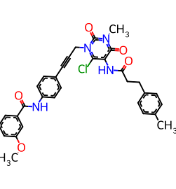 COc1cccc(C(=O)Nc2ccc(C#CCn3c(Cl)c(NC(=O)CCc4ccc(C)cc4)c(=O)n(C)c3=O)cc2)c1